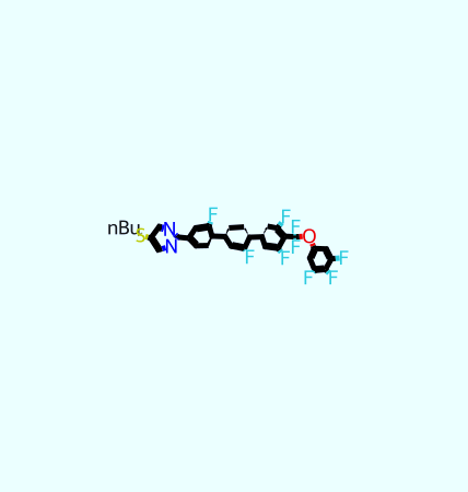 CCCCSc1cnc(C2=CC[C@H]([C@H]3C=C(F)[C@@H]([C@H]4C=C(F)C(C(F)(F)Oc5cc(F)c(F)c(F)c5)=C(F)C4)CC3)C(F)=C2)nc1